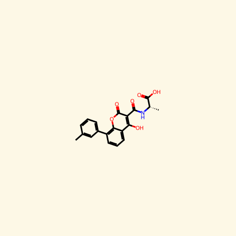 Cc1cccc(-c2cccc3c(O)c(C(=O)N[C@@H](C)C(=O)O)c(=O)oc23)c1